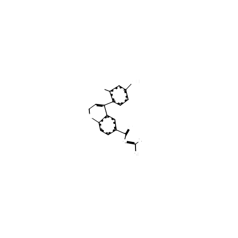 Cc1ccc(C2=CCSc3ccc(C(=O)N=C(N)N)cc32)c(F)c1